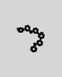 c1ccc(Oc2cccc(-c3ccnc(-c4cccc(Oc5cccc(-n6ccnc6)c5)c4)c3)c2)cc1